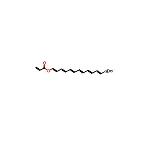 C=CC(=O)O/C=C/C=C/C=C/C=C/C=C/C=C/CCCCCCCCCC